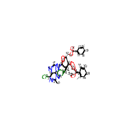 Cc1nc(Cl)c2ncn([C@H]3O[C@H](COC(=O)c4ccccc4)[C@@H](OC(=O)c4ccccc4)[C@@]3(C)Cl)c2n1